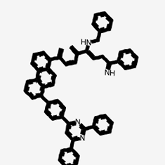 C=C(/C=C\C(=C)c1cccc2c1ccc1c(-c3ccc(-c4cc(-c5ccccc5)nc(-c5ccccc5)n4)cc3)cccc12)/C(=C/CC(=N)c1ccccc1)NCc1ccccc1